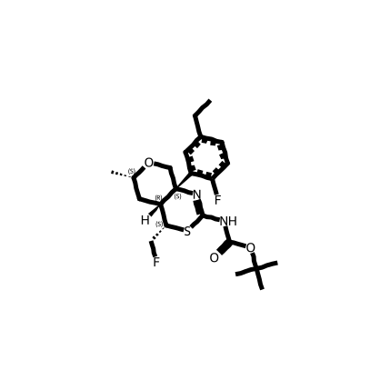 CCc1ccc(F)c([C@]23CO[C@@H](C)C[C@H]2[C@@H](CF)SC(NC(=O)OC(C)(C)C)=N3)c1